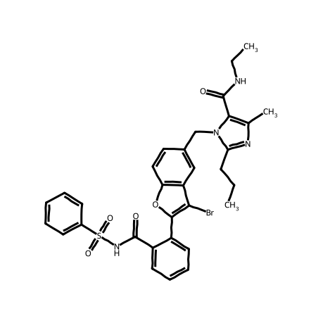 CCCc1nc(C)c(C(=O)NCC)n1Cc1ccc2oc(-c3ccccc3C(=O)NS(=O)(=O)c3ccccc3)c(Br)c2c1